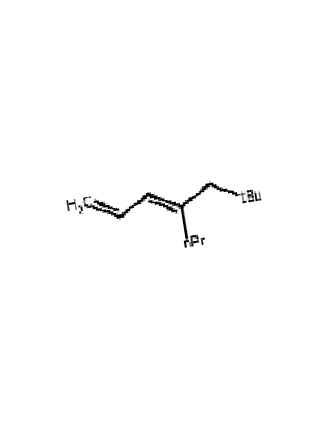 C=C/C=C(\CCC)CC(C)(C)C